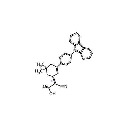 CC1(C)CC(c2ccc(-n3c4ccccc4c4ccccc43)cc2)=C/C(=C(\C#N)C(=O)O)C1